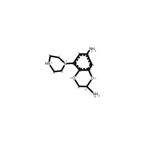 Nc1cc2c(c(N3CCNCC3)c1)OCC(N)O2